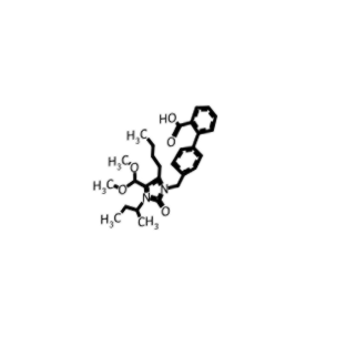 CCCCc1c(C(OC)OC)n(C(C)CC)c(=O)n1Cc1ccc(-c2ccccc2C(=O)O)cc1